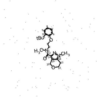 CN(CCOc1ccccc1C(C)(C)C)C(=O)c1nn(C)c2c1COCC2